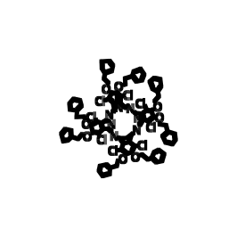 Clc1c(OCCc2ccccc2)c(OCCc2ccccc2)c(Cl)c2c1C1=NC/2=N\C2=c3c(Cl)c(OCCc4ccccc4)c(OCCc4ccccc4)c(Cl)c3=C(C2)/N=C2N=C(/N=c3\[nH]/c(c4c(Cl)c(OCCc5ccccc5)c(OCCc5ccccc5)c(Cl)c34)=N\1)c1c(Cl)c(OCCc3ccccc3)c(OCCc3ccccc3)c(Cl)c1\2